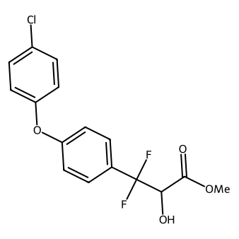 COC(=O)C(O)C(F)(F)c1ccc(Oc2ccc(Cl)cc2)cc1